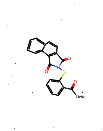 COC(=O)c1ccccc1SN1C(=O)c2ccc3ccccc3c2C1=O